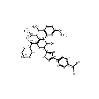 CCc1ccc(OC)cc1-n1c(CC(C)C)c(C(=O)N2CCNCC2)cc(-c2nc(-c3ccc(C(F)F)nc3)cs2)c1=O